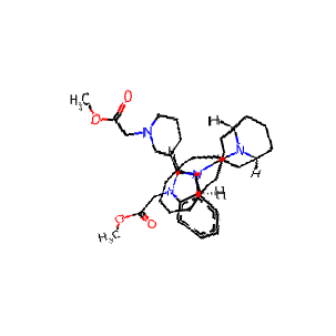 COC(=O)CN1CCC/C(=C2/N(CC(=O)OC)c3ccccc3N2C2C[C@H]3CCC[C@@H](C2)N3C2C[C@H]3CCCC[C@@H](C2)C3)C1